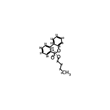 CCCCOP1(=O)Oc2ccccc2-c2ccccc21